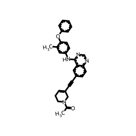 CC(=O)N1CCC=C(C#Cc2ccc3ncnc(Nc4ccc(Oc5ccccc5)c(C)c4)c3c2)C1